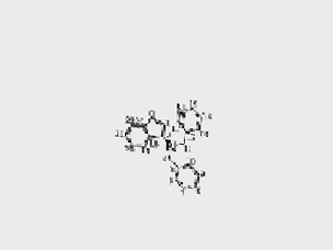 C1=CC(N(Cc2ccccc2)Cc2cccnc2)c2ccccc21